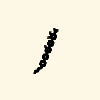 C/C=C/CCC1CCC(C2CC=C(c3ccc(-c4ccc(-c5ccc(C6CO6)c(F)c5F)cc4)c(F)c3)CC2)CC1